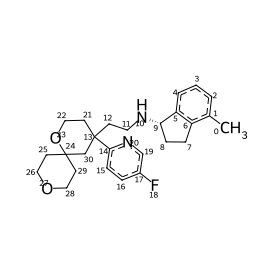 Cc1cccc2c1CC[C@@H]2NCCC1(c2ccc(F)cn2)CCOC2(CCOCC2)C1